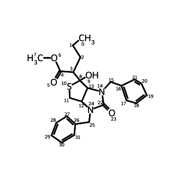 CCCC(C(=O)OC)C1(O)SCC2C1N(Cc1ccccc1)C(=O)N2Cc1ccccc1